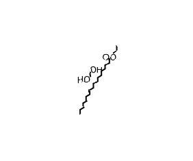 CCCCCCCCCCCCCCCCCC(=O)OCCC.OCCO